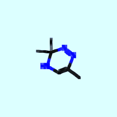 CC1=CNC(C)(C)N=N1